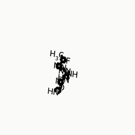 Cc1cc(F)cc(-c2cncc3[nH]c(-c4n[nH]c5cnc(-c6cncc(OC7CCNCC7)c6)cc45)nc23)c1